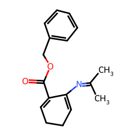 CC(C)=NC1=CCCC=C1C(=O)OCc1ccccc1